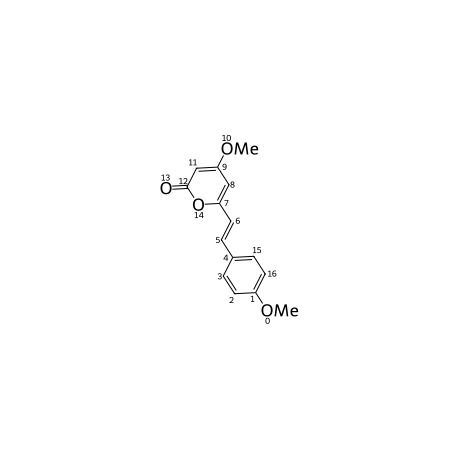 COc1ccc(C=Cc2cc(OC)cc(=O)o2)cc1